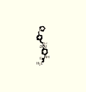 C=CC(=O)Nc1ccc(S(=O)(=O)NCc2ccc(CN3CCCC3)cc2)cc1